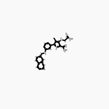 Cc1c(-c2cccc(OCc3ccc4ccccc4c3)c2)sc(C(=O)O)c1OCC(=O)O